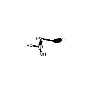 C#C[SeH]=[PH](O)O